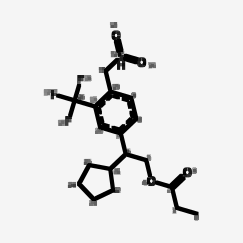 CCC(=O)OCC(c1ccc(C[SH](=O)=O)c(C(F)(F)F)c1)C1CCCC1